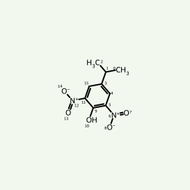 CC(C)c1cc([N+](=O)[O-])c(O)c([N+](=O)[O-])c1